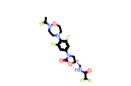 CC(=S)N1CCN(c2c(F)cc(N3C[C@H](CNC(=O)C(F)F)OC3=O)cc2F)CCO1